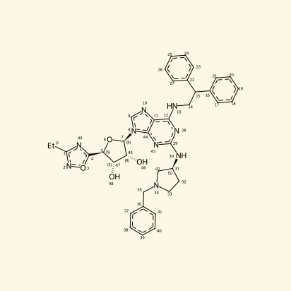 CCc1noc([C@H]2O[C@@H](n3cnc4c(NCC(c5ccccc5)c5ccccc5)nc(N[C@H]5CCN(Cc6ccccc6)C5)nc43)[C@H](O)[C@@H]2O)n1